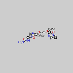 COc1cc2c(cc1OCCCCCOc1cc3c(cc1OC)C(=O)N1Cc4cc(NC(=O)CN)ccc4C[C@H]1C=N3)N=C[C@@H]1Cc3ccccc3CN1C2=O